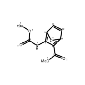 COC(=O)c1c(NC(=O)OC(C)(C)C)c2ccc1o2